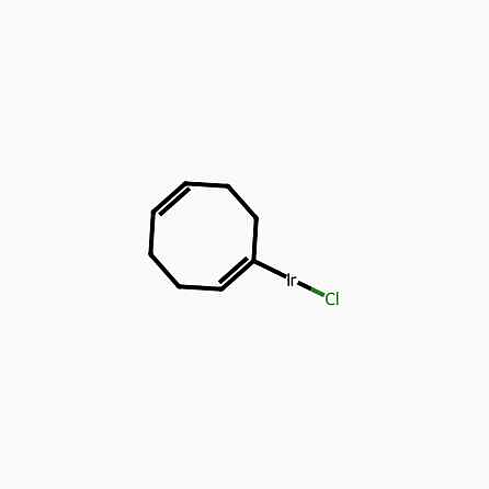 [Cl][Ir]/[C]1=C/CC/C=C\CC1